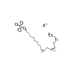 CC/C=C\C/C=C\C/C=C\CCCCCCCCOS(=O)(=O)[O-].[K+]